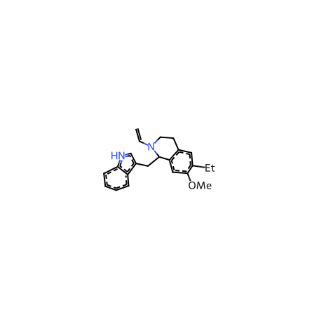 C=CN1CCc2cc(CC)c(OC)cc2C1Cc1c[nH]c2ccccc12